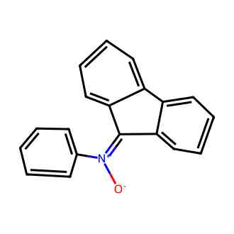 [O-][N+](=C1c2ccccc2-c2ccccc21)c1ccccc1